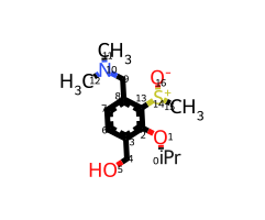 CC(C)Oc1c(CO)ccc(CN(C)C)c1[S+](C)[O-]